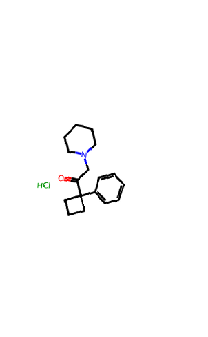 Cl.O=C(CN1CCCCC1)C1(c2ccccc2)CCC1